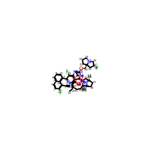 C#Cc1c(F)ccc2cccc(-c3nc4c5c(nc(OC[C@@]67CCCN6C[C@H](F)C7)nc5c3F)N3C[C@H]5CC[C@@H]([C@H]3CCC4)N5C(=O)OC(C)OC(=O)CCC)c12